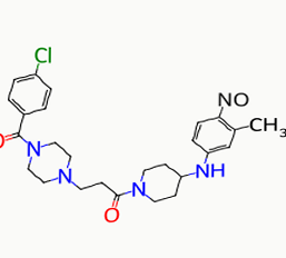 Cc1cc(NC2CCN(C(=O)CCN3CCN(C(=O)c4ccc(Cl)cc4)CC3)CC2)ccc1N=O